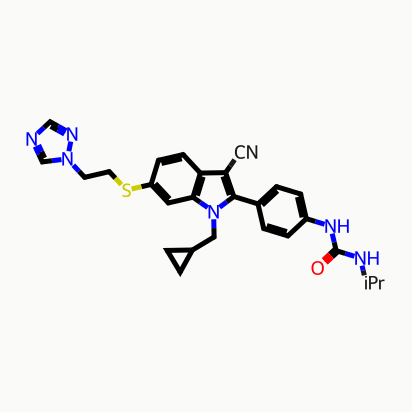 CC(C)NC(=O)Nc1ccc(-c2c(C#N)c3ccc(SCCn4cncn4)cc3n2CC2CC2)cc1